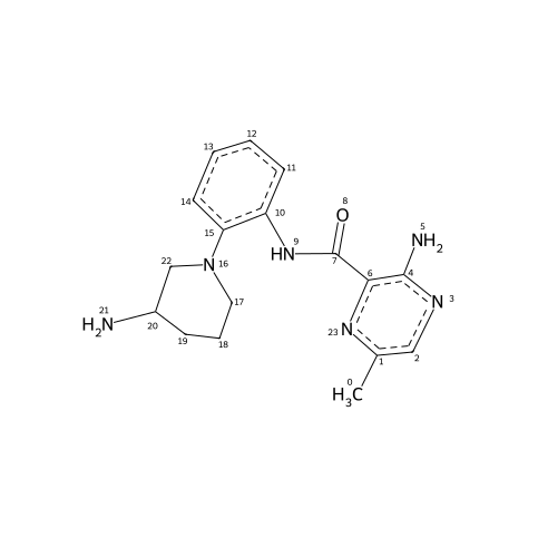 Cc1cnc(N)c(C(=O)Nc2ccccc2N2CCCC(N)C2)n1